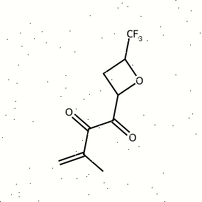 C=C(C)C(=O)C(=O)C1CC(C(F)(F)F)O1